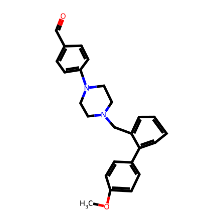 COc1ccc(-c2ccccc2CN2CCN(c3ccc(C=O)cc3)CC2)cc1